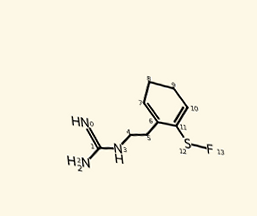 N=C(N)NCCC1=CCCC=C1SF